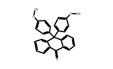 N#COc1ccc(C2(c3ccc(OC#N)cc3)c3ccccc3C(=O)c3ccccc32)cc1